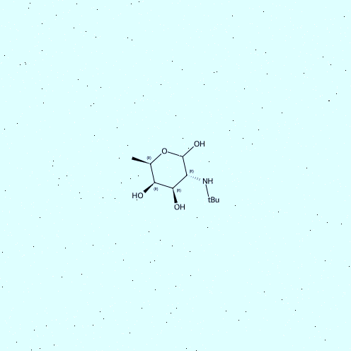 C[C@H]1OC(O)[C@H](NC(C)(C)C)[C@@H](O)[C@H]1O